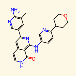 Cc1cc(-c2cc3cc[nH]c(=O)c3c(Nc3ccc(C4CCOCC4)nc3)n2)cnc1N